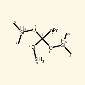 CCCC(O[SiH3])(O[SiH](C)C)O[SiH](C)C